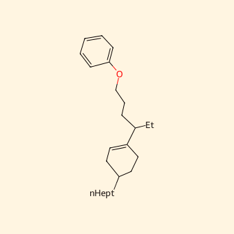 CCCCCCCC1CC=C(C(CC)CCCOc2ccccc2)CC1